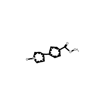 COC(=O)c1ccc(-c2cc[n+]([O-])cc2)cc1